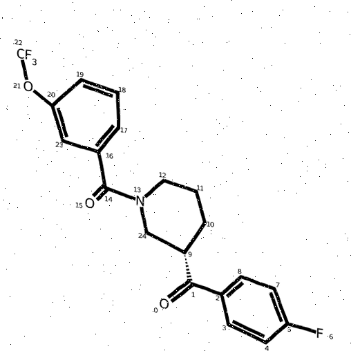 O=C(c1ccc(F)cc1)[C@H]1CCCN(C(=O)c2cccc(OC(F)(F)F)c2)C1